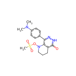 CN(C)c1ccc(-c2n[nH]c(=O)c3c2N(OS(C)(=O)=O)CCC3)cc1